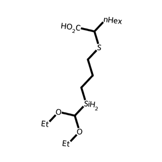 CCCCCCC(SCCC[SiH2]C(OCC)OCC)C(=O)O